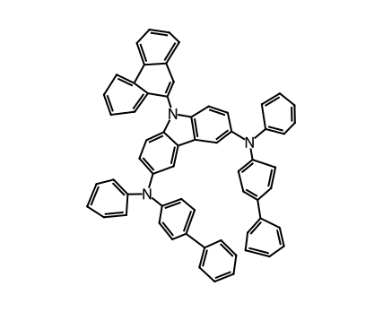 c1ccc(-c2ccc(N(c3ccccc3)c3ccc4c(c3)c3cc(N(c5ccccc5)c5ccc(-c6ccccc6)cc5)ccc3n4-c3cc4ccccc4c4ccccc34)cc2)cc1